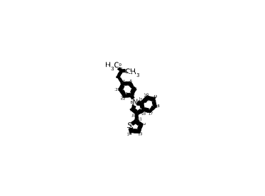 CC(C)Cc1ccc(-n2cc(-c3cccs3)c3ccccc32)cc1